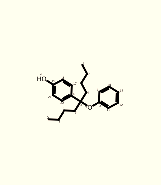 CCCCC(CCCC)(Oc1ccccc1)c1ccc(O)cc1